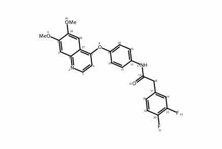 COc1cc2nccc(Oc3ccc(NC(=O)Cc4ccc(F)c(F)c4)cc3)c2cc1OC